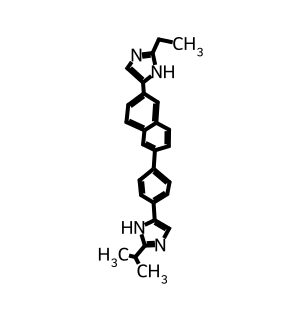 CCc1ncc(-c2ccc3cc(-c4ccc(-c5cnc(C(C)C)[nH]5)cc4)ccc3c2)[nH]1